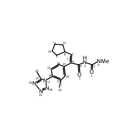 CNC(=O)NC(=O)/C(=C/C1CCCC1)c1ccc(-n2nnnc2C)c(F)c1